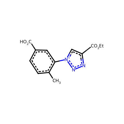 CCOC(=O)c1cn(-c2cc(C(=O)O)ccc2C)nn1